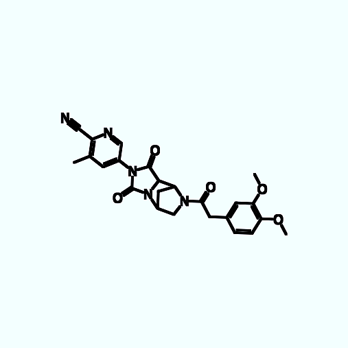 COc1ccc(CC(=O)N2CC3CC2C2C(=O)N(c4cnc(C#N)c(C)c4)C(=O)N32)cc1OC